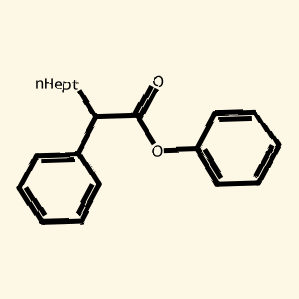 CCCCCCCC(C(=O)Oc1ccccc1)c1ccccc1